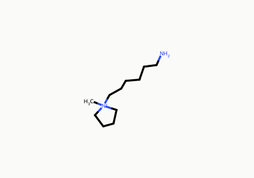 C[N+]1(CCCCCCN)CCCC1